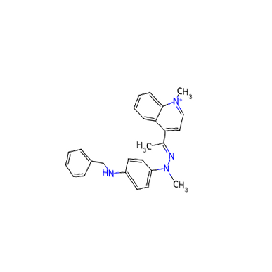 C/C(=N\N(C)c1ccc(NCc2ccccc2)cc1)c1cc[n+](C)c2ccccc12